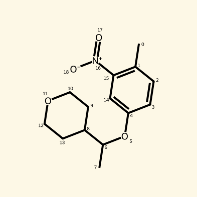 Cc1ccc(OC(C)C2CCOCC2)cc1[N+](=O)[O-]